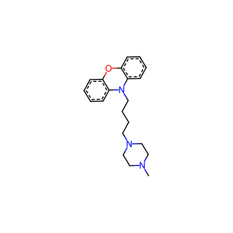 CN1CCN(CCCCN2c3ccccc3Oc3ccccc32)CC1